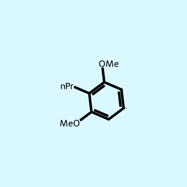 CCCc1c(OC)c[c]cc1OC